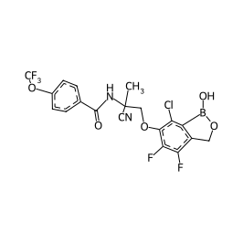 CC(C#N)(COc1c(F)c(F)c2c(c1Cl)B(O)OC2)NC(=O)c1ccc(OC(F)(F)F)cc1